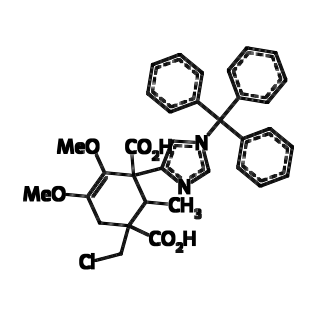 COC1=C(OC)C(C(=O)O)(c2cn(C(c3ccccc3)(c3ccccc3)c3ccccc3)cn2)C(C)C(CCl)(C(=O)O)C1